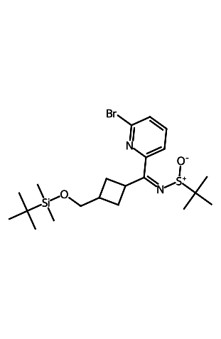 CC(C)(C)[S+]([O-])/N=C(\c1cccc(Br)n1)C1CC(CO[Si](C)(C)C(C)(C)C)C1